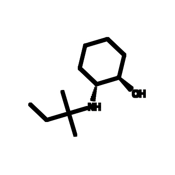 CCC(C)(C)N[C@@H]1CCCC[C@H]1O